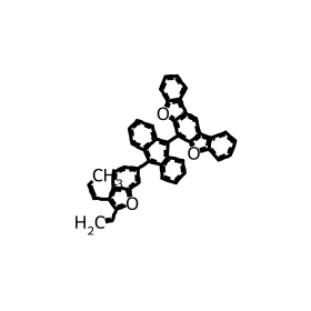 C=Cc1oc2cc(-c3c4ccccc4c(-c4c5oc6ccccc6c5cc5c4oc4ccccc45)c4ccccc34)ccc2c1/C=C\C